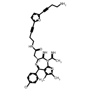 CC(=N)N1C(=N)[C@H](CC(=O)NCCC#Cc2ccc(C#CCCN)o2)N=C(c2ccc(Cl)cc2)c2c1sc(C)c2C